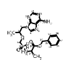 CC(Cn1cnc2c(N)ncnc21)OCP(=O)(O)NC(C)C(=O)OCc1ccccc1